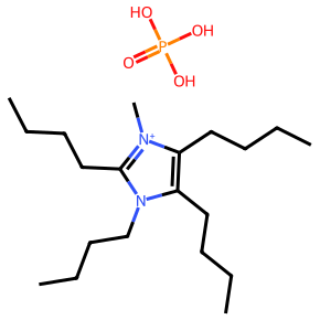 CCCCc1c(CCCC)[n+](C)c(CCCC)n1CCCC.O=P(O)(O)O